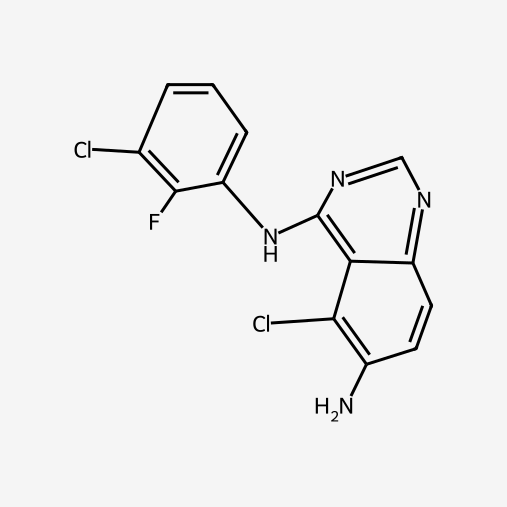 Nc1ccc2ncnc(Nc3cccc(Cl)c3F)c2c1Cl